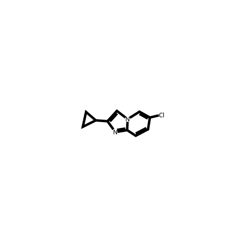 Clc1ccc2nc(C3CC3)cn2c1